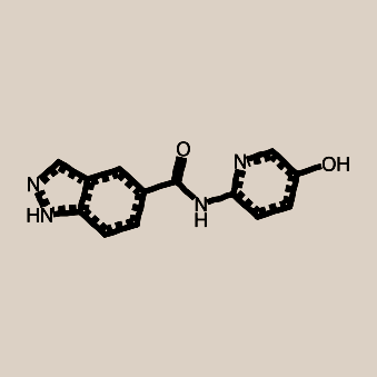 O=C(Nc1ccc(O)cn1)c1ccc2[nH]ncc2c1